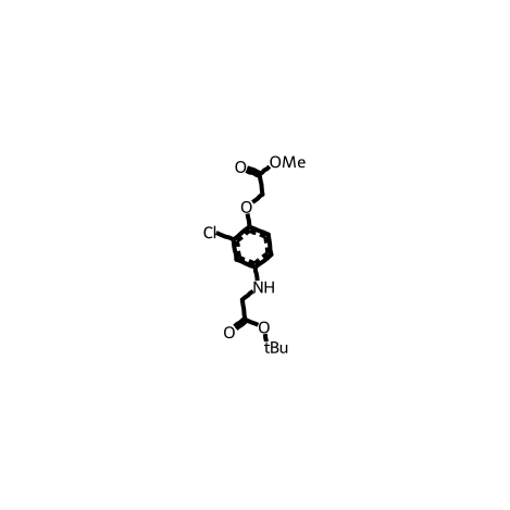 COC(=O)COc1ccc(NCC(=O)OC(C)(C)C)cc1Cl